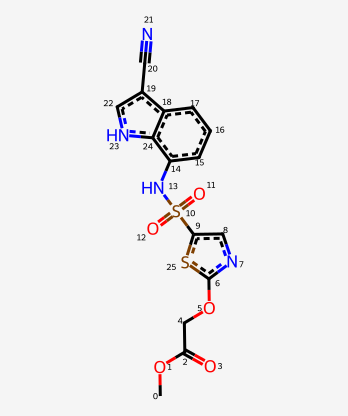 COC(=O)COc1ncc(S(=O)(=O)Nc2cccc3c(C#N)c[nH]c23)s1